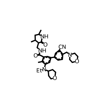 CCN(c1cc(-c2ccc(CN3CCOCC3)c(C#N)c2)cc(C(=O)NCC2C(=O)NC(C)CC2C)c1C)C1CCOCC1